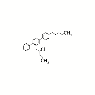 CCCCCc1ccc(-c2ccc(-c3ccccc3)c(CC(Cl)CCC)c2)cc1